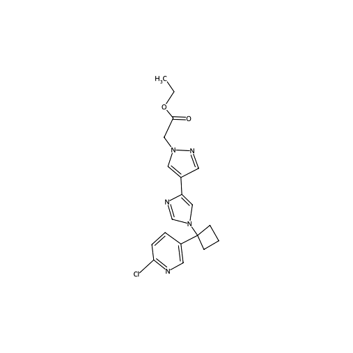 CCOC(=O)Cn1cc(-c2cn(C3(c4ccc(Cl)nc4)CCC3)cn2)cn1